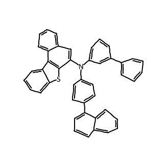 c1ccc(-c2cccc(N(c3ccc(-c4cccc5ccccc45)cc3)c3cc4ccccc4c4c3sc3ccccc34)c2)cc1